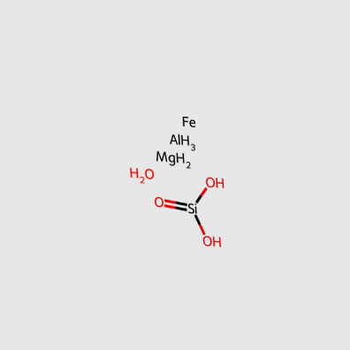 O.O=[Si](O)O.[AlH3].[Fe].[MgH2]